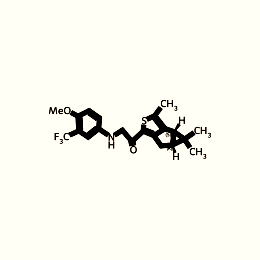 COc1ccc(NCC(=O)c2sc(C)c3c2C[C@@H]2[C@H]3C2(C)C)cc1C(F)(F)F